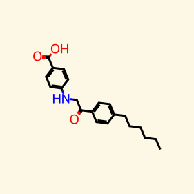 CCCCCCc1ccc(C(=O)CNc2ccc(C(=O)O)cc2)cc1